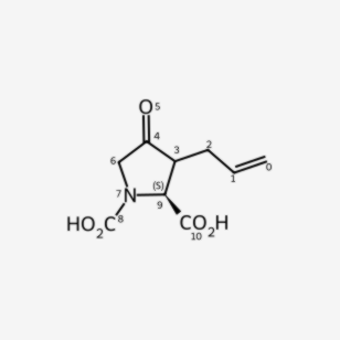 C=CCC1C(=O)CN(C(=O)O)[C@@H]1C(=O)O